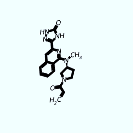 C=CC(=O)N1CC[C@H](N(C)c2nc(-c3n[nH]c(=O)[nH]3)cc3ccccc23)C1